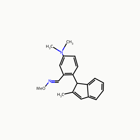 CON=Cc1cc(N(C)C)ccc1C1C(C)=Cc2ccccc21